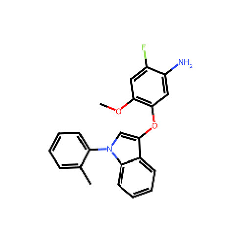 COc1cc(F)c(N)cc1Oc1cn(-c2ccccc2C)c2ccccc12